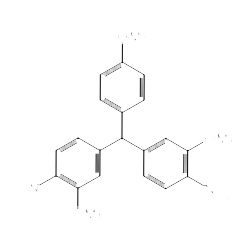 COc1ccc(C(c2ccc(N)c(OC)c2)c2ccc(N)c(OC)c2)cc1